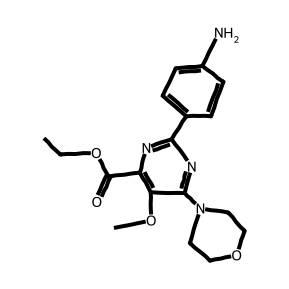 CCOC(=O)c1nc(-c2ccc(N)cc2)nc(N2CCOCC2)c1OC